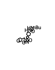 CCCCNC(=O)NC1CCC2(CC1)CC1(C2)C(=O)N(C)C(=O)N1CC1CCOCC1